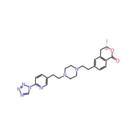 C[C@H]1Cc2cc(CCN3CCN(CCc4ccc(-n5cnnn5)nc4)CC3)ccc2C(=O)O1